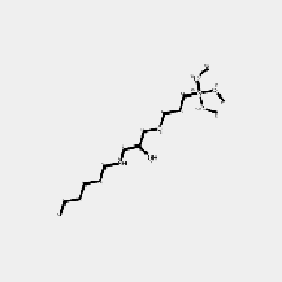 CCCCCCNCC(O)COCCC[Si](OC)(OC)OC